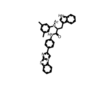 CC(=O)N(c1cc(C)cc(C)c1)C(Cc1c[nH]c2ccccc12)C(=O)Nc1ccc(-c2cn3c(n2)sc2ccccc23)cc1